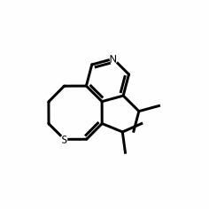 CC(C)/C1=C/SCCCc2cncc(C(C)C)c21